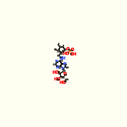 Cc1cc(OP(=O)(O)O)cc(CNc2ncnc3c2ncn3[C@@H]2O[C@H](CO)[C@@H](O)[C@H]2O)c1C